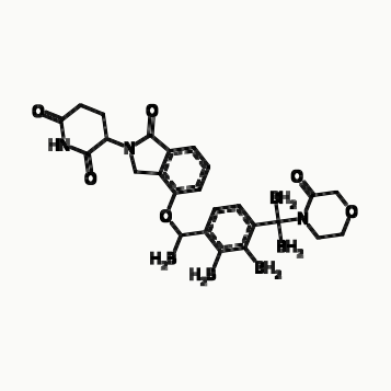 Bc1c(C(B)Oc2cccc3c2CN(C2CCC(=O)NC2=O)C3=O)ccc(C(B)(B)N2CCOCC2=O)c1B